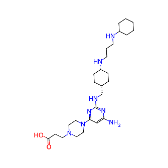 Nc1cc(N2CCN(CCC(=O)O)CC2)nc(NC[C@H]2CC[C@@H](NCCCNC3CCCCC3)CC2)n1